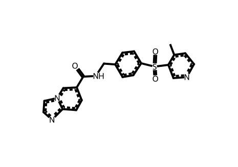 Cc1ccncc1S(=O)(=O)c1ccc(CNC(=O)c2ccc3nccn3c2)cc1